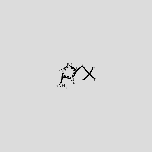 CC(C)(C)Cc1nnc(N)o1